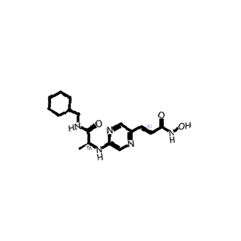 C[C@H](Nc1cnc(/C=C/C(=O)NO)cn1)C(=O)NCC1CCCCC1